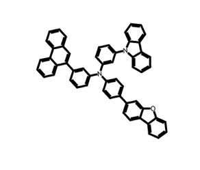 c1cc(-c2cc3ccccc3c3ccccc23)cc(N(c2ccc(-c3ccc4c(c3)oc3ccccc34)cc2)c2cccc(-n3c4ccccc4c4ccccc43)c2)c1